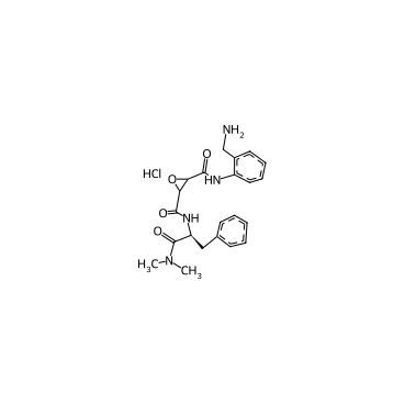 CN(C)C(=O)[C@H](Cc1ccccc1)NC(=O)C1OC1C(=O)Nc1ccccc1CN.Cl